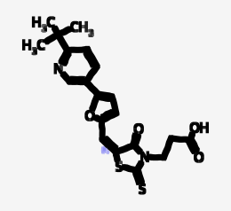 CC(C)(C)c1ccc(-c2ccc(/C=C3/SC(=S)N(CCC(=O)O)C3=O)o2)cn1